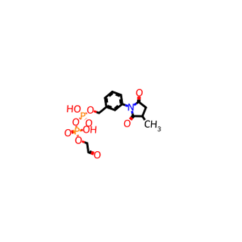 CC1CC(=O)N(c2cccc(COP(=O)(O)OP(=O)(O)OCC=O)c2)C1=O